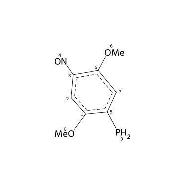 COc1cc(N=O)c(OC)cc1P